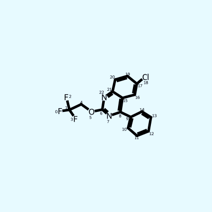 FC(F)(F)COc1nc(-c2ccccc2)c2cc(Cl)ccc2n1